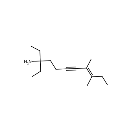 CC/C(C)=C(\C)C#CCCC(N)(CC)CC